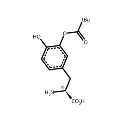 CC(C)(C)C(=O)Oc1cc(C[C@H](N)C(=O)O)ccc1O